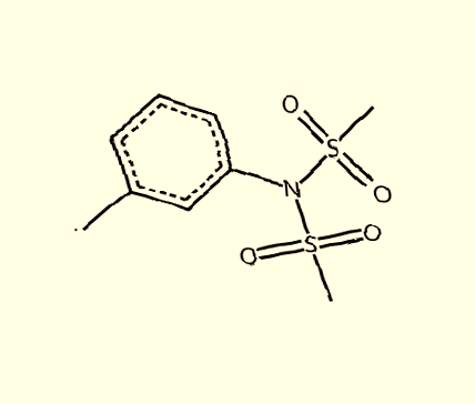 [CH2]c1cccc(N(S(C)(=O)=O)S(C)(=O)=O)c1